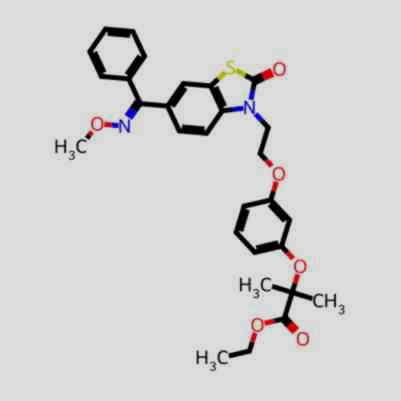 CCOC(=O)C(C)(C)Oc1cccc(OCCn2c(=O)sc3cc(C(=NOC)c4ccccc4)ccc32)c1